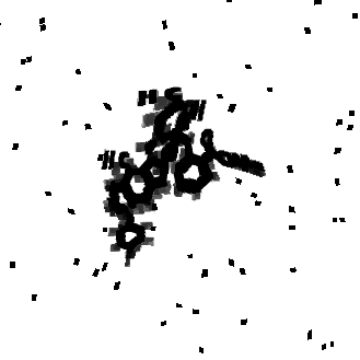 COC(=O)c1ccccc1CS(=O)(=O)N(C[C@@H]1CCC2=C1[C@@H](C)c1cnn(-c3ccc(F)cc3)c1C2)C[C@@H](C)O